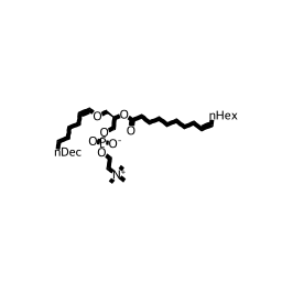 CCCCCC/C=C\CCCCCCCC(=O)O[C@H](CO/C=C\CCCCCCCCCCCCCC)COP(=O)([O-])OCC[N+](C)(C)C